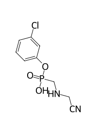 N#CCNCP(=O)(O)Oc1cccc(Cl)c1